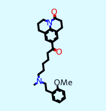 COc1ccccc1CCN(C)CCCCCC(=O)c1cc2c3c(c1)CCC(=O)N3CCC2